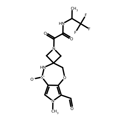 CC(NC(=O)C(=O)N1CC2(COc3c(cn(C)c3C=O)[S+]([O-])N2)C1)C(F)(F)F